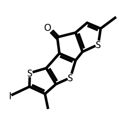 Cc1cc2c(s1)-c1sc3c(C)c(I)sc3c1C2=O